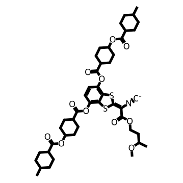 [C-]#[N+]C(C(=O)OCCC(C)OC)=C1Sc2c(OC(=O)C3CCC(OC(=O)C4CCC(C)CC4)CC3)ccc(OC(=O)C3CCC(OC(=O)C4CCC(C)CC4)CC3)c2S1